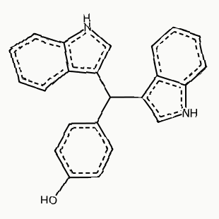 Oc1ccc(C(c2c[nH]c3ccccc23)c2c[nH]c3ccccc23)cc1